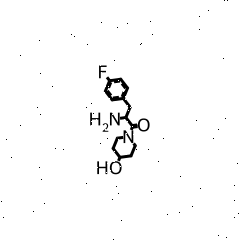 NC(Cc1ccc(F)cc1)C(=O)N1CCC(O)CC1